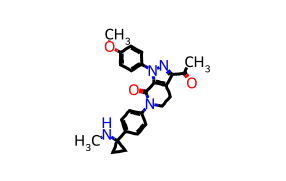 CNC1(c2ccc(N3CCc4c(C(C)=O)nn(-c5ccc(OC)cc5)c4C3=O)cc2)CC1